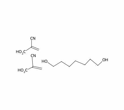 C=C(C#N)C(=O)O.C=C(C#N)C(=O)O.OCCCCCCCO